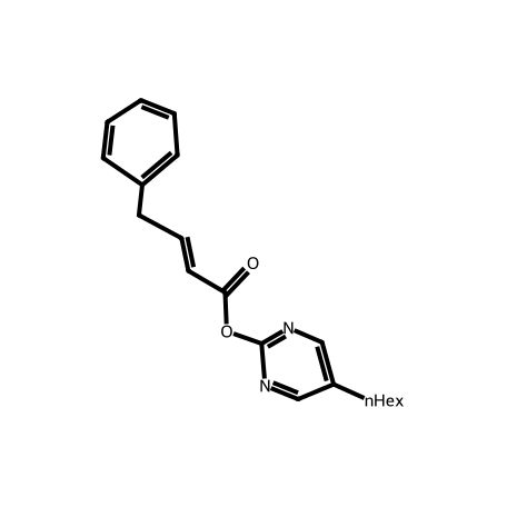 CCCCCCc1cnc(OC(=O)/C=C/Cc2ccccc2)nc1